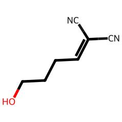 N#CC(C#N)=CCCCO